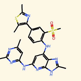 Cc1cc(Nc2cc(Nc3ccc(-c4nc(C)sc4C)cc3S(C)(=O)=O)c3nc(C)[nH]c3n2)nc(C)n1